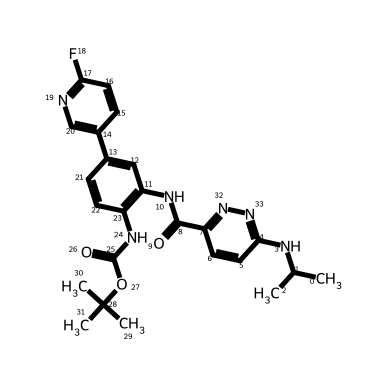 CC(C)Nc1ccc(C(=O)Nc2cc(-c3ccc(F)nc3)ccc2NC(=O)OC(C)(C)C)nn1